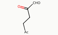 CC(=O)CCC(=O)C=O